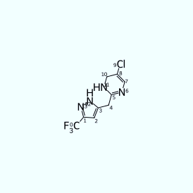 FC(F)(F)c1cc(CC2=NC=C(Cl)CN2)[nH]n1